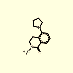 CN1CCc2c(cccc2N2CCCC2)C1=O